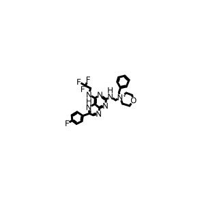 Fc1ccc(-c2cnc3nc(NC[N+]4(Cc5ccccc5)CCOCC4)nc(NCC(F)(F)F)c3n2)cc1